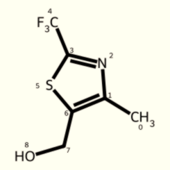 Cc1nc(C(F)(F)F)sc1CO